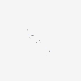 C=C(Cl)/C(=C\C=C(/C)S(C)(=O)=O)C(=O)Nc1ccc(Cl)c(C2(N/C(CC)=C(N)/C=C(\CC)C(=O)NO)CC2)c1